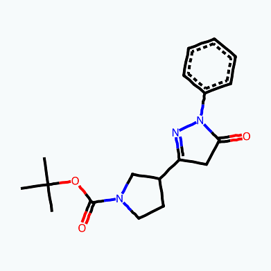 CC(C)(C)OC(=O)N1CCC(C2=NN(c3ccccc3)C(=O)C2)C1